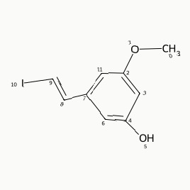 COc1cc(O)cc(C=CI)c1